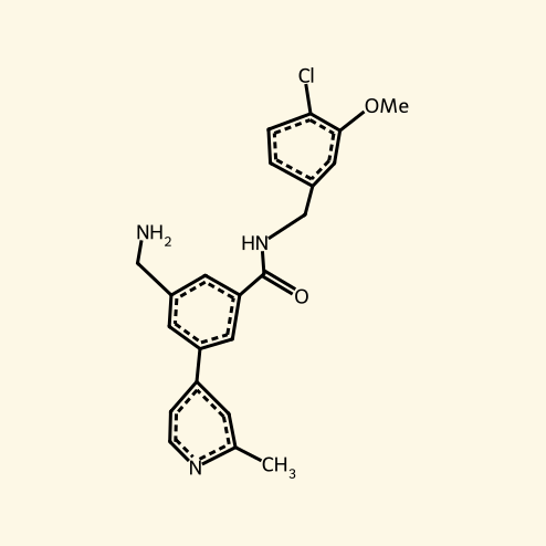 COc1cc(CNC(=O)c2cc(CN)cc(-c3ccnc(C)c3)c2)ccc1Cl